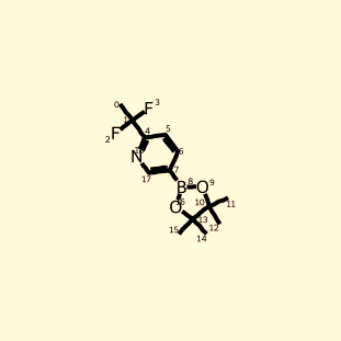 CC(F)(F)c1ccc(B2OC(C)(C)C(C)(C)O2)cn1